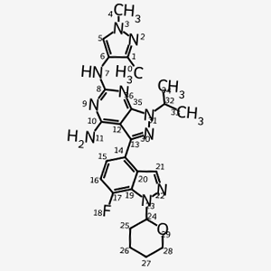 Cc1nn(C)cc1Nc1nc(N)c2c(-c3ccc(F)c4c3cnn4C3CCCCO3)nn(C(C)C)c2n1